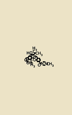 Cc1c(C(=O)N(Cc2ccc(C(=O)N3CCN(C)CC3)cc2)C(C(=O)O)C(C)C)ccc2c1B(O)OC2